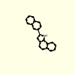 c1ccc2cc(-c3cc4ccc5ccccc5c4[nH]3)ccc2c1